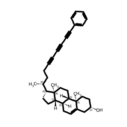 C[C@H](CCC#CC#CC#Cc1ccccc1)[C@H]1CC[C@H]2[C@@H]3CC=C4C[C@@H](O)CC[C@]4(C)[C@H]3CC[C@]12C